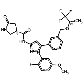 COc1ccc(F)c(-n2nc(NC(=O)[C@@H]3CNC(=O)C3)cc2-c2cccc(CO[C@H](C)C(F)(F)F)c2)c1